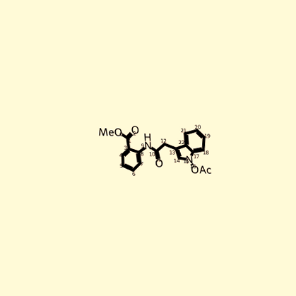 COC(=O)c1ccccc1NC(=O)Cc1cn(OC(C)=O)c2ccccc12